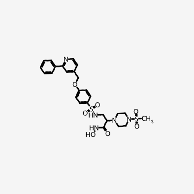 CS(=O)(=O)N1CCN(C(CNS(=O)(=O)c2ccc(OCc3ccnc(-c4ccccc4)c3)cc2)C(=O)NO)CC1